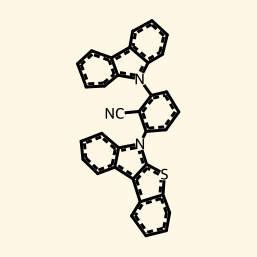 N#Cc1c(-n2c3ccccc3c3ccccc32)cccc1-n1c2ccccc2c2c3ccccc3sc21